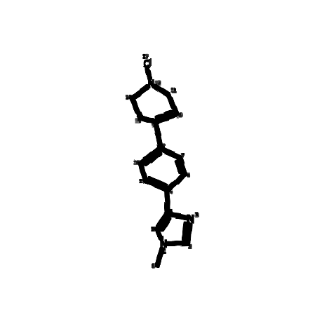 Cn1cnc(-c2ccc(C3=CCN(Cl)CC3)cc2)c1